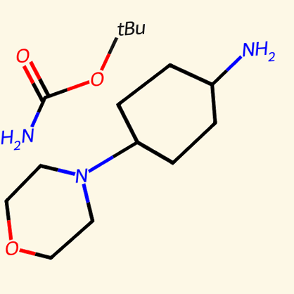 CC(C)(C)OC(N)=O.NC1CCC(N2CCOCC2)CC1